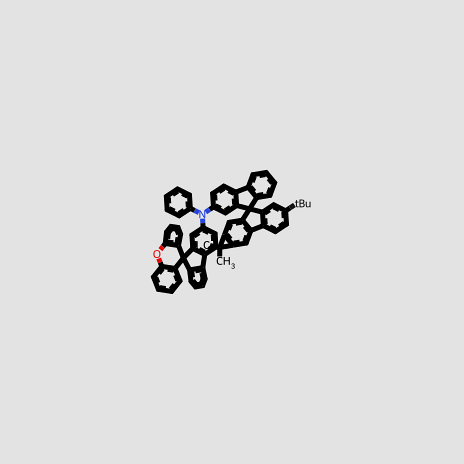 CC(C)(C)c1ccc2c(c1)C1(c3ccccc3-c3ccc(N(c4ccccc4)c4ccc5c(c4)C4(c6ccccc6Oc6ccccc64)c4ccccc4-5)cc31)c1cc3c(cc1-2)C3(C)C